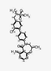 CC1CN(c2ccc(-c3ccc(CN(C)S(C)(=O)=O)cc3Cl)cc2)C(=O)c2c(N)ncnc2O1